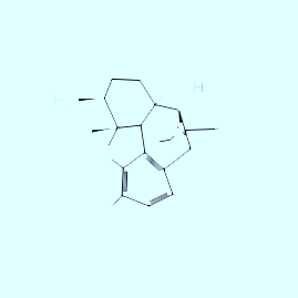 CN1CC[C@]23c4c5ccc(O)c4O[C@@H]2[C@@H](O)CC[C@H]3[C@H]1C5